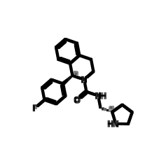 O=C(NC[C@@H]1CCCN1)N1CCc2ccccc2[C@@H]1c1ccc(F)cc1